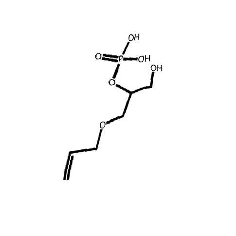 C=CCOCC(CO)OP(=O)(O)O